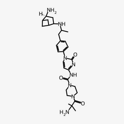 CC(Cc1ccc(-n2ccc(NC(=O)N3CCN(C(=O)C(C)(C)N)CC3)nc2=O)cc1)NC1C[C@H](N)C2CC1C2